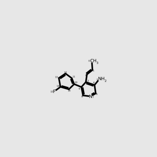 C/C=C/c1c(N)cncc1-c1cccc(F)c1